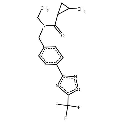 CCN(Cc1ccc(-c2noc(C(F)(F)F)n2)cc1)C(=O)C1CC1C